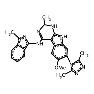 COc1cc2c3c([nH]c2cc1-n1c(C)nnc1C)NC(C)N=C3Nc1nn(C)c2ccccc12